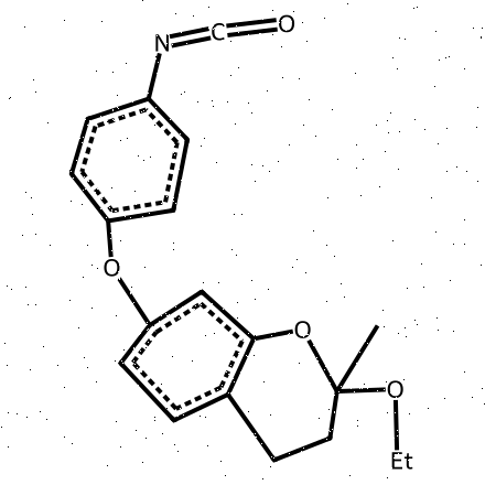 CCOC1(C)CCc2ccc(Oc3ccc(N=C=O)cc3)cc2O1